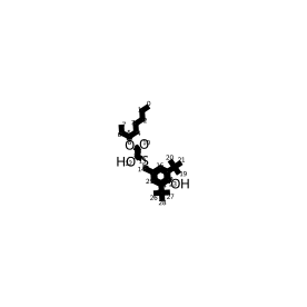 CCCCCC(CC)OC(=O)C(O)SCc1cc(C(C)(C)C)c(O)c(C(C)(C)C)c1